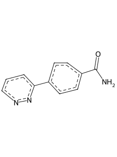 NC(=O)c1ccc(-c2cccnn2)cc1